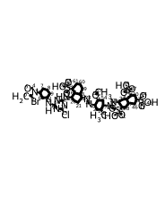 C=C(Br)N(C=O)c1cccc(Nc2nc(Cl)nc(Nc3ccc(N=Nc4cc(C)c(N=Nc5cc6c(S(=O)(=O)O)cc(S(=O)(=O)O)cc6cc5S(=O)(=O)O)cc4OC)c4cccc(S(=O)(=O)O)c34)n2)c1